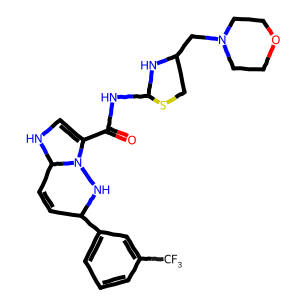 O=C(NC1NC(CN2CCOCC2)CS1)C1=CNC2C=CC(c3cccc(C(F)(F)F)c3)NN12